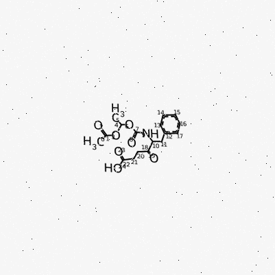 CC(=O)OC(C)OC(=O)NC(Cc1ccccc1)C(=O)CCC(=O)O